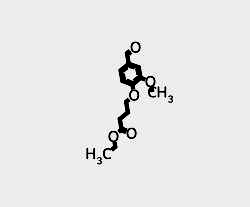 CCOC(=O)CCCOc1ccc(C=O)cc1OC